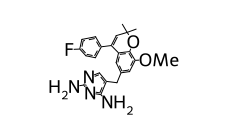 COc1cc(Cc2cnc(N)nc2N)cc2c1OC(C)(C)C=C2c1ccc(F)cc1